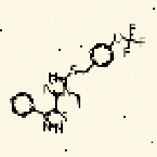 CCn1c(SCc2ccc(OC(F)(F)F)cc2)nnc1-c1snnc1-c1ccccc1